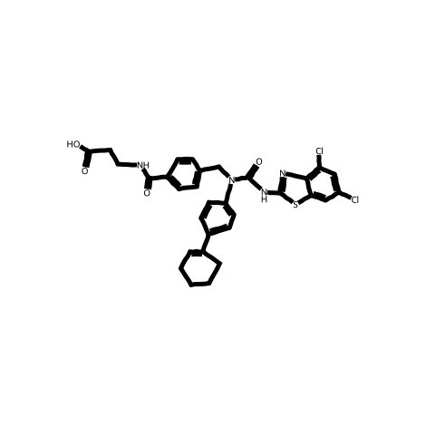 O=C(O)CCNC(=O)c1ccc(CN(C(=O)Nc2nc3c(Cl)cc(Cl)cc3s2)c2ccc(C3=CCCCC3)cc2)cc1